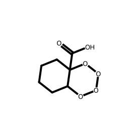 O=C(O)C12CCCCC1OOOO2